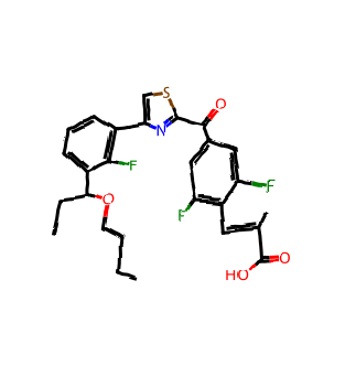 CCCCOC(CC)c1cccc(-c2csc(C(=O)c3cc(F)c(/C=C(\C)C(=O)O)c(F)c3)n2)c1F